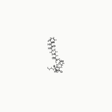 CCCCS(=O)(=O)NC(CC1CN=C(CN(C)C(=O)CN2CCC(NC(=O)Nc3ncccc3C)CC2)O1)C(=O)O